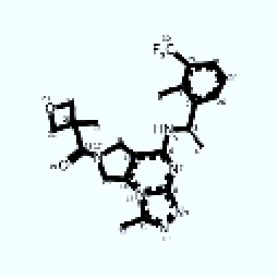 Cc1c([C@@H](C)Nc2nc3nnc(C)n3c3c2CN(C(=O)C2(C)COC2)C3)cccc1C(F)(F)F